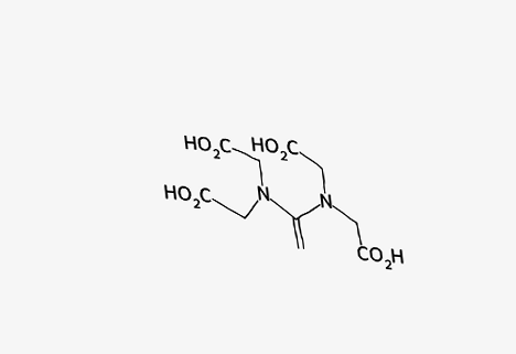 C=C(N(CC(=O)O)CC(=O)O)N(CC(=O)O)CC(=O)O